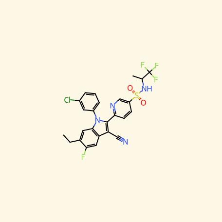 CCc1cc2c(cc1F)c(C#N)c(-c1ccc(S(=O)(=O)NC(C)C(F)(F)F)cn1)n2-c1cccc(Cl)c1